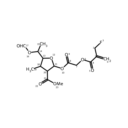 C=C(CF)C(=O)OCC(=O)OC1OC(C(C)OC=O)C(C)C1C(=O)OC